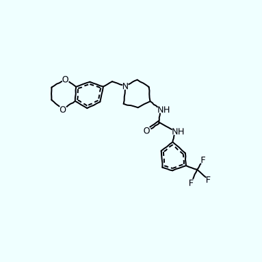 O=C(Nc1cccc(C(F)(F)F)c1)NC1CCN(Cc2ccc3c(c2)OCCO3)CC1